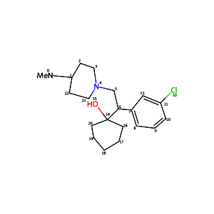 CNC1CCN(CC(c2cccc(Cl)c2)C2(O)CCCCC2)CC1